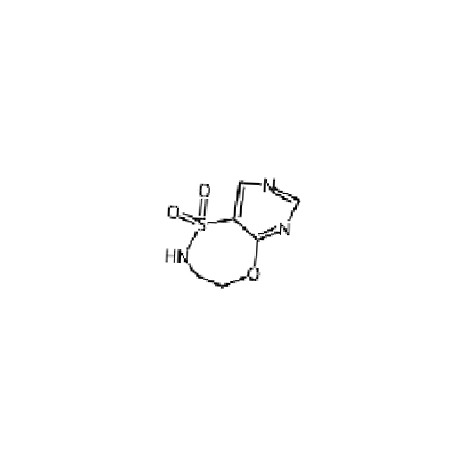 O=S1(=O)NCCOc2ncncc21